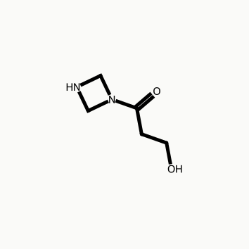 O=C(CCO)N1CNC1